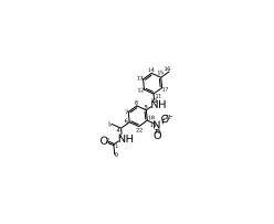 CC(=O)NC(C)c1ccc(Nc2cccc(C)c2)c([N+](=O)[O-])c1